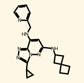 c1ccc(CNc2cc(NC3CC4(CCC4)C3)nn3c(C4CC4)nnc23)nc1